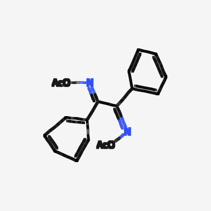 CC(=O)ON=C(C(=NOC(C)=O)c1ccccc1)c1ccccc1